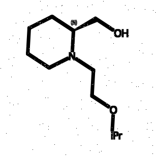 CC(C)OCCN1CCCC[C@H]1CO